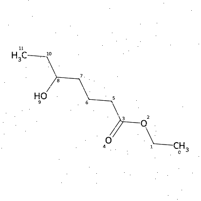 CCOC(=O)CCCC(O)CC